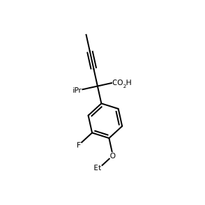 CC#CC(C(=O)O)(c1ccc(OCC)c(F)c1)C(C)C